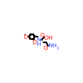 COc1ccc(CN[C@@H](CCC(N)=O)C(=O)O)c(OC)c1